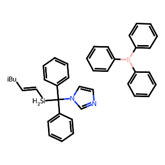 CCC(C)C=C[SiH2]C(c1ccccc1)(c1ccccc1)n1ccnc1.c1ccc(B(c2ccccc2)c2ccccc2)cc1